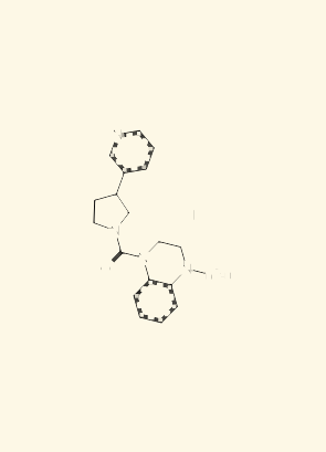 CCCCN1CCN(C(=O)N2CCC(c3cccnc3)C2)c2ccccc21.Cl